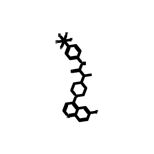 CC(C(=O)Nc1ccc(S(F)(F)(F)(F)F)cc1)C1CCN(c2ccnc3ccc(F)cc23)CC1